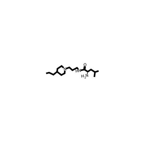 CCCC1CCN(CCCNC(=O)[C@@H](N)CC(C)C)CC1